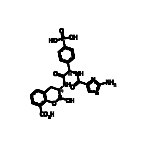 Nc1nc(C(=O)N[C@@H](C(=O)N[C@H]2Cc3cccc(C(=O)O)c3OB2O)c2ccc(P(=O)(O)O)cc2)cs1